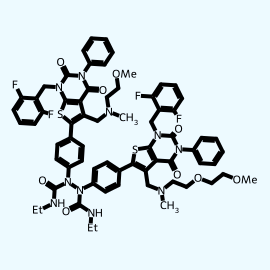 CCNC(=O)N(c1ccc(-c2sc3c(c2CN(C)CCOC)c(=O)n(-c2ccccc2)c(=O)n3Cc2c(F)cccc2F)cc1)N(C(=O)NCC)c1ccc(-c2sc3c(c2CN(C)CCOCCOC)c(=O)n(-c2ccccc2)c(=O)n3Cc2c(F)cccc2F)cc1